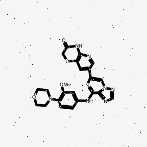 COc1cc(Nc2nc(-c3cnc4c(c3)OCC(=O)N4)cn3ncnc23)ccc1N1CCOCC1